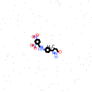 CC1CC(=O)NN=C1c1ccc(N/N=C/c2ccc([N+](=O)[O-])cc2[N+](=O)[O-])cc1